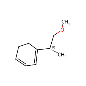 COC[C@H](C)C1=CC=CCC1